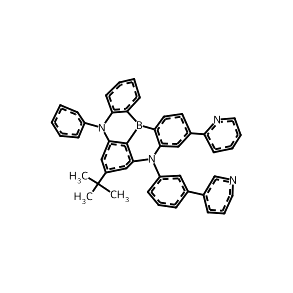 CC(C)(C)c1cc2c3c(c1)N(c1cccc(-c4cccnc4)c1)c1cc(-c4ccccn4)ccc1B3c1ccccc1N2c1ccccc1